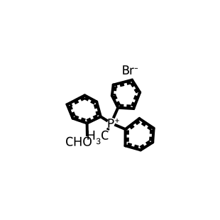 C[P+](c1ccccc1)(c1ccccc1)c1ccccc1C=O.[Br-]